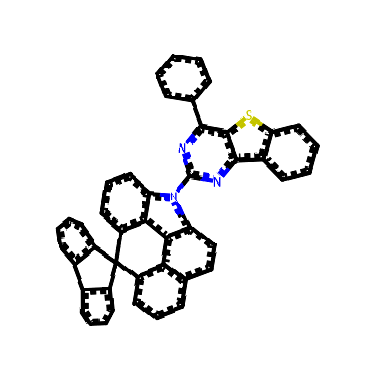 c1ccc(-c2nc(-n3c4cccc5c4c4c6c(cccc6ccc43)C53c4ccccc4-c4ccccc43)nc3c2sc2ccccc23)cc1